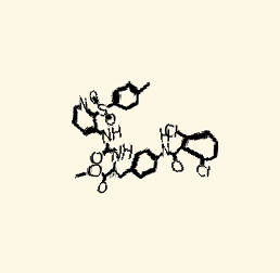 COC(=O)[C@H](Cc1ccc(NC(=O)c2c(Cl)cccc2Cl)cc1)NC(=O)Nc1cccnc1S(=O)(=O)c1ccc(C)cc1